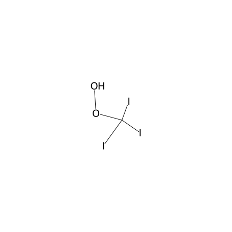 OOC(I)(I)I